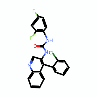 O=C(Nc1ccc(F)cc1F)Nc1cnc2ccccc2c1-c1ccccc1Cl